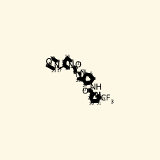 O=C(Nc1ccc2nn(CC(=O)N3CCC[C@H](CN4CCOCC4)C3)cc2c1)c1cccc(C(F)(F)F)n1